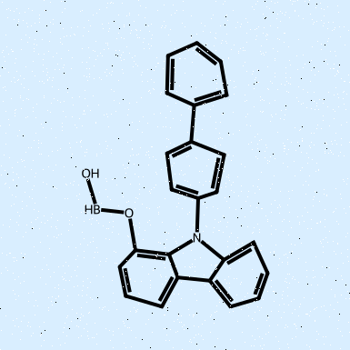 OBOc1cccc2c3ccccc3n(-c3ccc(-c4ccccc4)cc3)c12